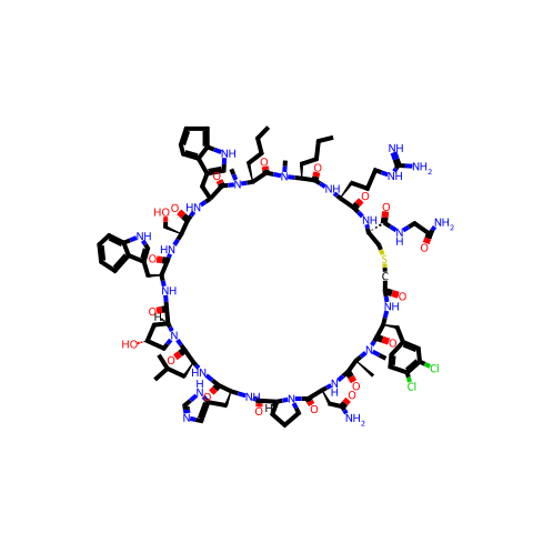 CCCC[C@H]1C(=O)N(C)[C@@H](CCCC)C(=O)N[C@@H](CCCNC(=N)N)C(=O)N[C@H](C(=O)NCC(N)=O)CSCC(=O)N[C@@H](Cc2ccc(Cl)c(Cl)c2)C(=O)N(C)[C@@H](C)C(=O)N[C@@H](CC(N)=O)C(=O)N2CCC[C@H]2C(=O)N[C@@H](Cc2cnc[nH]2)C(=O)N[C@@H](CC(C)C)C(=O)N2C[C@H](O)C[C@H]2C(=O)N[C@@H](Cc2c[nH]c3ccccc23)C(=O)N[C@@H](CO)C(=O)NC(Cc2c[nH]c3ccccc23)C(=O)N1C